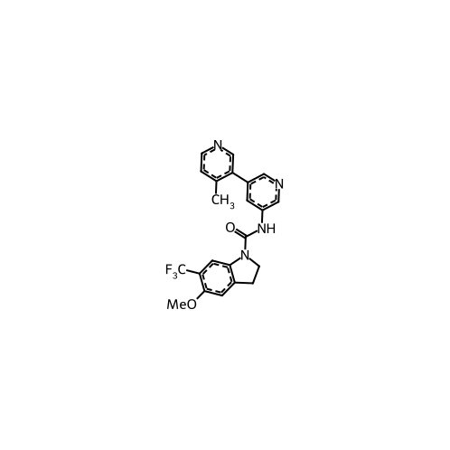 COc1cc2c(cc1C(F)(F)F)N(C(=O)Nc1cncc(-c3cnccc3C)c1)CC2